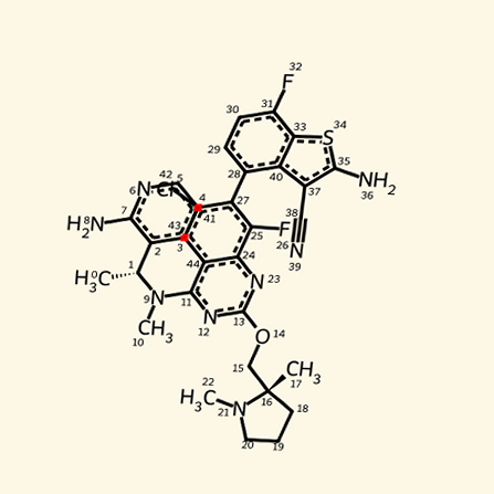 C[C@H](c1cccnc1N)N(C)c1nc(OC[C@]2(C)CCCN2C)nc2c(F)c(-c3ccc(F)c4sc(N)c(C#N)c34)c(Cl)cc12